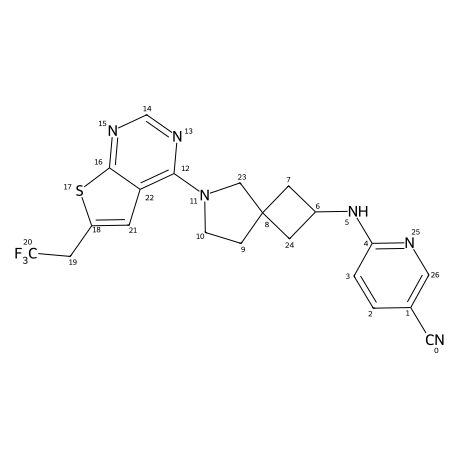 N#Cc1ccc(NC2CC3(CCN(c4ncnc5sc(CC(F)(F)F)cc45)C3)C2)nc1